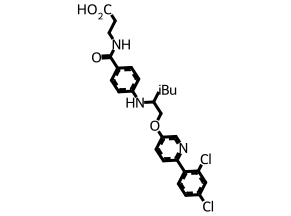 CCC(C)C(COc1ccc(-c2ccc(Cl)cc2Cl)nc1)Nc1ccc(C(=O)NCCC(=O)O)cc1